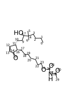 CCCCC(C)(C)[C@H](O)CC[C@H]1C=CC(=O)[C@@H]1CCCCCCCOC(=O)NC(C)=O